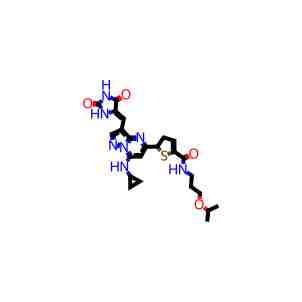 CC(C)OCCCNC(=O)C1=CCC(c2cc(NC3CC3)n3ncc(/C=C4\NC(=O)NC4=O)c3n2)S1